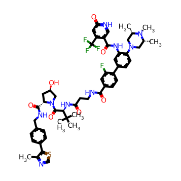 Cc1ncsc1-c1ccc(CNC(=O)[C@@H]2C[C@@H](O)CN2C(=O)[C@@H](NC(=O)CCNC(=O)c2ccc(-c3ccc(N4C[C@@H](C)N(C)[C@@H](C)C4)c(NC(=O)c4c[nH]c(=O)cc4C(F)(F)F)c3)c(F)c2)C(C)(C)C)cc1